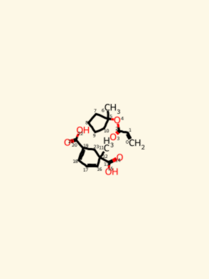 C=CC(=O)OC1(C)CCCC1.CC1(C(=O)O)C=CC=C(C(=O)O)C1